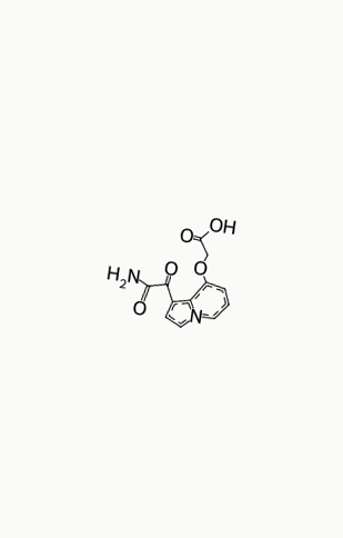 NC(=O)C(=O)c1ccn2cccc(OCC(=O)O)c12